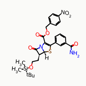 CC(C)(C)[Si](C)(C)OCC[C@H]1C(=O)N2C(C(=O)OCc3ccc([N+](=O)[O-])cc3)=C(c3cccc(C(N)=O)c3)S[C@H]12